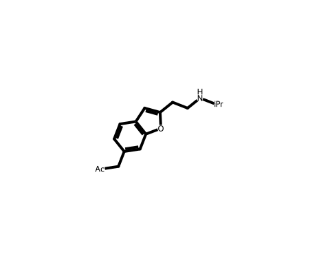 CC(=O)Cc1ccc2cc(CCNC(C)C)oc2c1